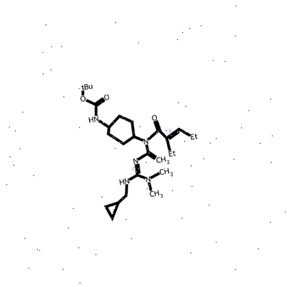 C=C(/N=C(/NCC1CC1)N(C)C)N(C(=O)/C(=C/CC)CC)C1CCC(NC(=O)OC(C)(C)C)CC1